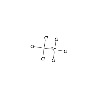 ClC(Cl)(Cl)[13C](Cl)(Cl)Cl